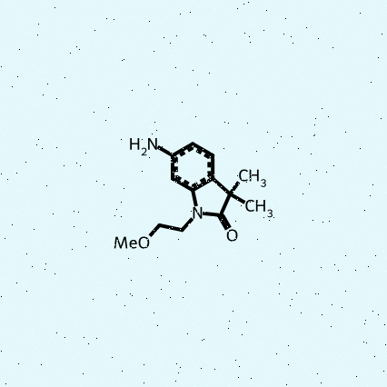 COCCN1C(=O)C(C)(C)c2ccc(N)cc21